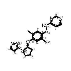 Cc1cc(SNc2ccncn2)c(F)cc1OC1CCC[C@H]1c1ccn[nH]1